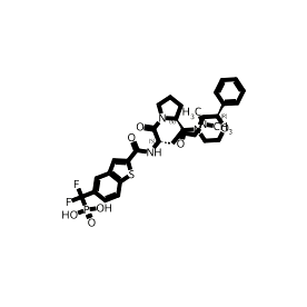 CN(C)CCC[C@H](NC(=O)c1cc2cc(C(F)(F)P(=O)(O)O)ccc2s1)C(=O)N1CCC[C@H]1C(=O)N1CCO[C@H](c2ccccc2)C1